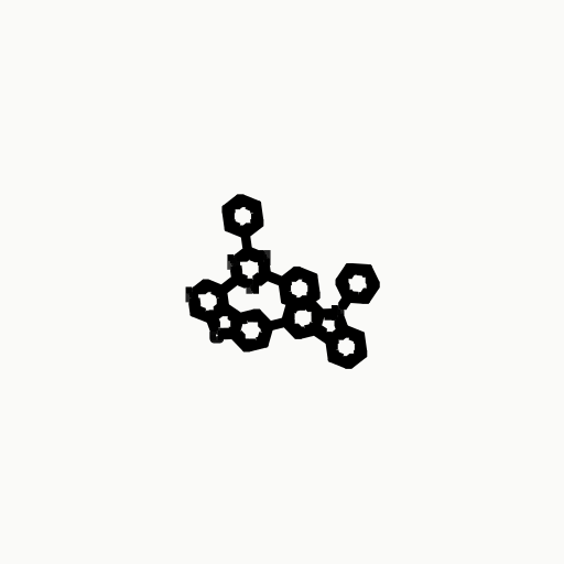 c1ccc(-c2nc(-c3ccccc3)nc(-c3cncc4oc5ccc(-c6ccc7c(c6)c6ccccc6n7-c6ccccc6)cc5c34)n2)cc1